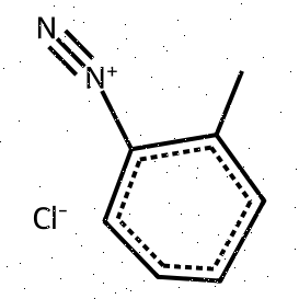 Cc1ccccc1[N+]#N.[Cl-]